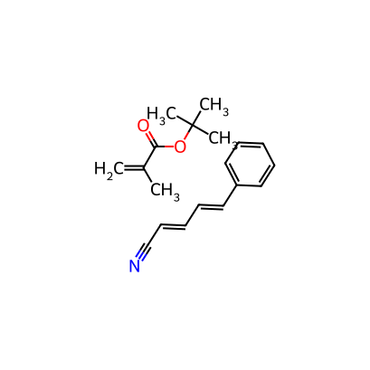 C=C(C)C(=O)OC(C)(C)C.N#CC=CC=Cc1ccccc1